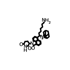 CN(C(CCCCCCN)c1ccc2c3c(cccc13)C(=O)N2C1CCC(=O)NC1=O)C12CC3CC(CC(C3)C1)C2